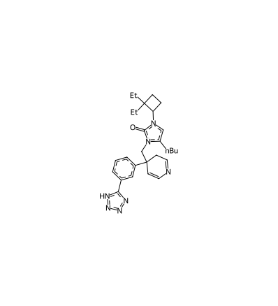 CCCCc1cn(C2CCC2(CC)CC)c(=O)n1CC1(c2cccc(-c3nnn[nH]3)c2)C=CN=CC1